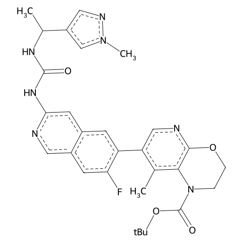 Cc1c(-c2cc3cc(NC(=O)NC(C)c4cnn(C)c4)ncc3cc2F)cnc2c1N(C(=O)OC(C)(C)C)CCO2